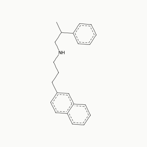 CC(CNCCCc1ccc2ccccc2c1)c1ccccc1